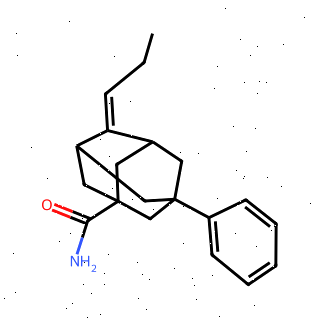 CCC=C1C2CC3(C(N)=O)CC1CC(c1ccccc1)(C2)C3